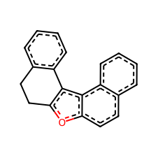 c1ccc2c(c1)CCc1oc3ccc4ccccc4c3c1-2